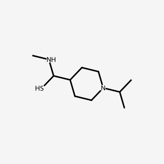 CNC(S)C1CCN(C(C)C)CC1